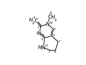 C=C1N=C2NCCCC2=CN1C